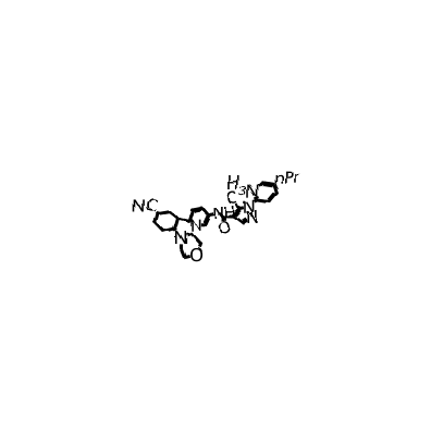 CCCc1ccc(-n2ncc(C(=O)Nc3ccc(C4CC(C#N)CCC4N4CCOCC4)nc3)c2C)nc1